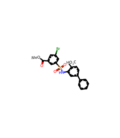 COC(=O)c1cc(Br)cc(S(=O)(=O)Nc2cc(-c3ccccc3)ccc2C(=O)O)c1